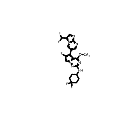 COc1nc(NC2CCC(F)(F)CC2)nn2cc(F)c(-c3cnc4ncc(C(F)F)n4c3)c12